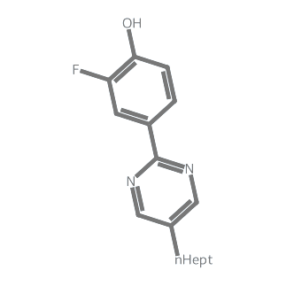 CCCCCCCc1cnc(-c2ccc(O)c(F)c2)nc1